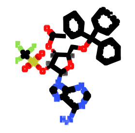 CC(=O)O[C@H]1[C@@H](OS(=O)(=O)C(F)(F)F)[C@H](n2cnc3c(N)ncnc32)O[C@@H]1COC(c1ccccc1)(c1ccccc1)c1ccccc1